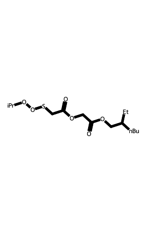 CCCCC(CC)COC(=O)COC(=O)CSOOC(C)C